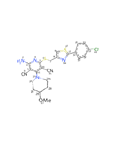 [C-]#[N+]c1c(N)nc(SCc2csc(-c3ccc(Cl)cc3)n2)c(C#N)c1N1CCC(OC)CC1